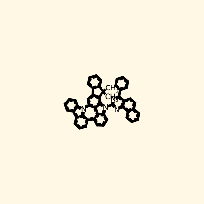 CC1(C)c2ccccc2-c2cc3c4c5c(cccc5n(-c5nc(-c6ccccc6)c6ccc7ccccc7c6n5)c4c21)c1cccc2c4ccccc4n3c12